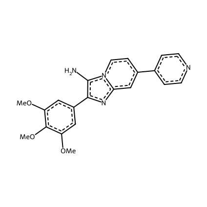 COc1cc(-c2nc3cc(-c4ccncc4)ccn3c2N)cc(OC)c1OC